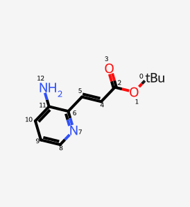 CC(C)(C)OC(=O)/C=C/c1ncccc1N